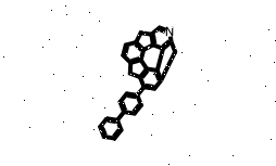 c1ccc(-c2ccc(-c3cc4c5c6c(ncc7c6c6c(ccc8c6c5c3C8)C7)C4)cc2)cc1